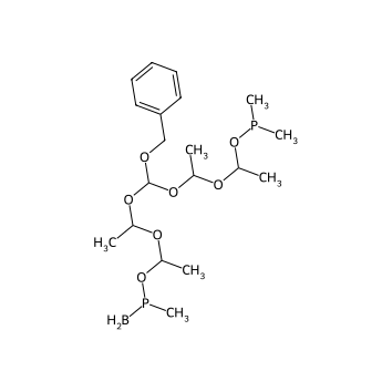 BP(C)OC(C)OC(C)OC(OCc1ccccc1)OC(C)OC(C)OP(C)C